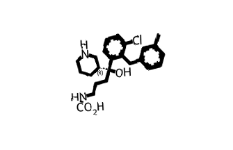 Cc1cccc(Cc2c(Cl)cccc2C(O)(CCCNC(=O)O)[C@@H]2CCCNC2)c1